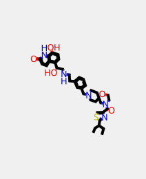 CCC(CC)c1nc(C(=O)N2CCOC3(CCN(Cc4cccc(CCNC[C@H](O)c5ccc(O)c6[nH]c(=O)ccc56)c4)CC3)C2)cs1